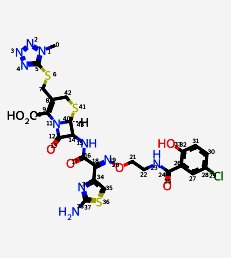 Cn1nnnc1SCC1=C(C(=O)O)N2C(=O)C(NC(=O)C(=NOCCNC(=O)c3cc(Cl)ccc3O)c3csc(N)n3)[C@@H]2SC1